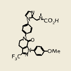 COc1ccc(-n2nc(C(F)(F)F)c3c2C(=O)N(c2ccc(-n4ccnc4CN(C)C(=O)O)cc2)CC3)cc1